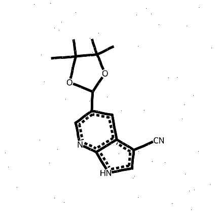 CC1(C)OC(c2cnc3[nH]cc(C#N)c3c2)OC1(C)C